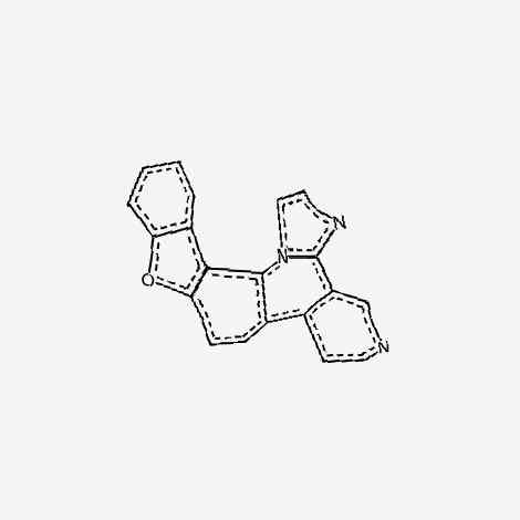 c1ccc2c(c1)oc1ccc3c4ccncc4c4nccn4c3c12